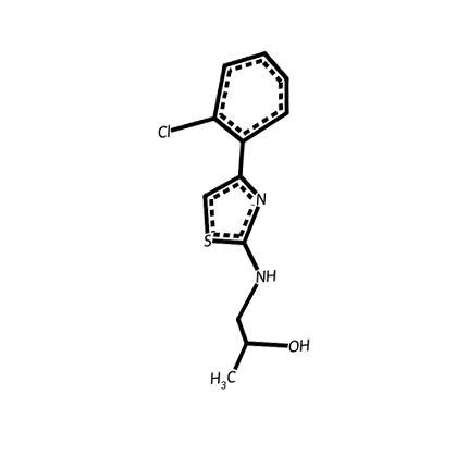 CC(O)CNc1nc(-c2ccccc2Cl)cs1